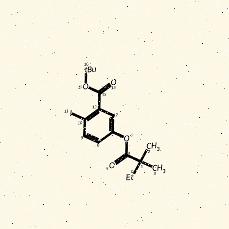 CCC(C)(C)C(=O)Oc1ccc(I)c(C(=O)OC(C)(C)C)c1